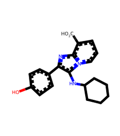 O=C(O)c1cccn2c(NC3CCCCC3)c(-c3ccc(O)cc3)nc12